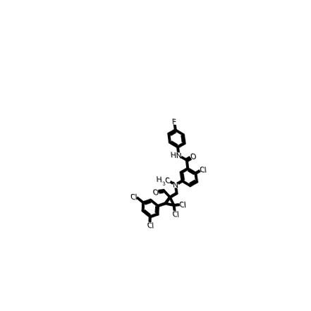 CN(CC1(C=O)C(c2cc(Cl)cc(Cl)c2)C1(Cl)Cl)c1ccc(Cl)c(C(=O)Nc2ccc(F)cc2)c1